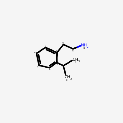 CC(C)c1ccccc1CCN